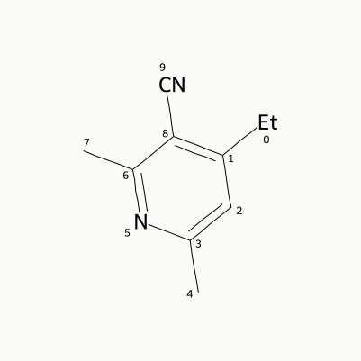 CCc1cc(C)nc(C)c1C#N